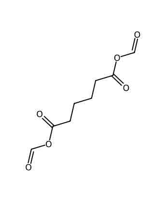 O=COC(=O)CCCCC(=O)OC=O